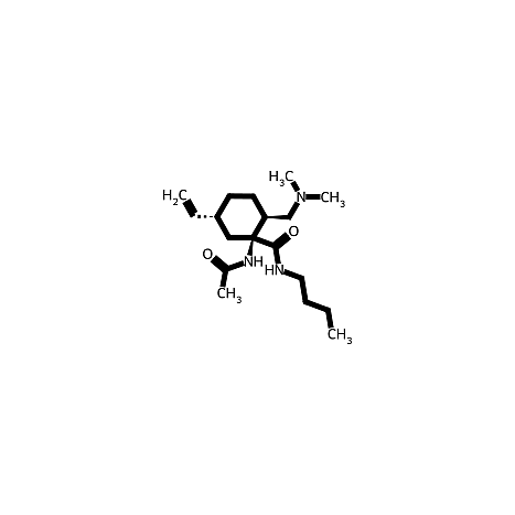 C=C[C@@H]1CC[C@@H](CN(C)C)[C@](NC(C)=O)(C(=O)NCCCC)C1